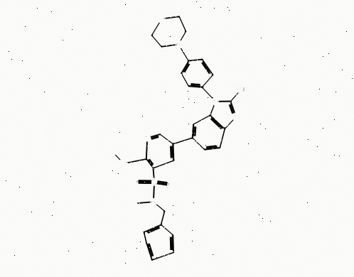 COc1ncc(-c2ccc3nc(N)n(-c4ccc(N5CCOCC5)cc4)c3c2)cc1S(=O)(=O)N(C)Cc1ccccc1